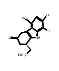 CCOC(=O)C[C@H]1CC(=O)Cc2c1[nH]c1c(Cl)c(Cl)cc(Br)c21